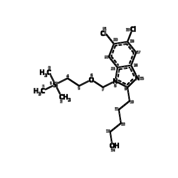 C[Si](C)(C)CCOCn1c(CCCCO)nc2cc(Cl)c(Cl)cc21